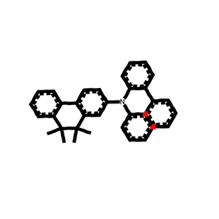 CC1(C)c2ccccc2-c2ccc(N(c3ccccc3)c3ccccc3-c3ccccc3)cc2C1(C)C